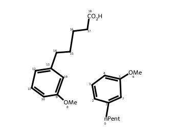 CCCCCc1cccc(OC)c1.COc1cccc(CCCCC(=O)O)c1